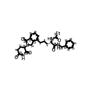 CCC(=O)N[C@@H](CCCc1cccc2c1CN(C1CCC(=O)NC1=O)C2=O)C(=O)NCc1ccccc1